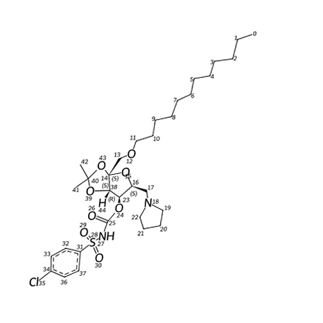 CCCCCCCCCCCCOC[C@@]12O[C@@H](CN3CCCC3)[C@@H](OC(=O)NS(=O)(=O)c3ccc(Cl)cc3)[C@@H]1OC(C)(C)O2